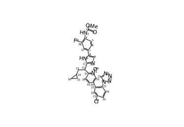 COC(=O)Nc1ccc(-c2cnc(C(CC3CC3)c3ccc(-c4cc(Cl)ccc4-n4cnnn4)c[n+]3[O-])[nH]2)cc1F